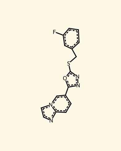 Fc1cccc(CSc2nnc(-c3ccc4nccn4c3)o2)c1